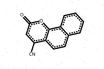 N#Cc1cc(=O)oc2c1ccc1ccccc12